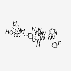 CC(NC(=O)CCc1ccc([C@]2(C)C(=O)Nc3nc(-c4nn(Cc5ccccc5F)c5ncccc45)nc(N)c32)cc1)C(=O)O